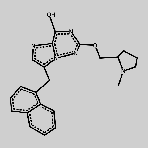 CN1CCCC1COc1nc(O)c2ncc(Cc3cccc4ccccc34)n2n1